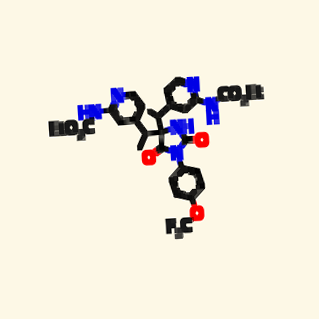 CCOC(=O)Nc1cc(C(C)C2(C(C)c3ccnc(NC(=O)OCC)c3)NC(=O)N(c3ccc(OC(F)(F)F)cc3)C2=O)ccn1